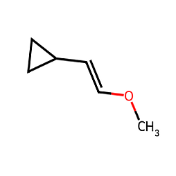 COC=CC1CC1